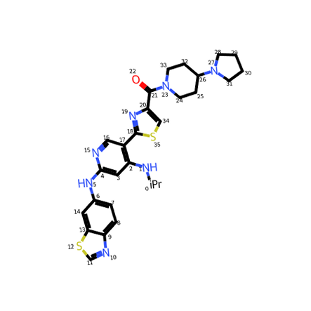 CC(C)Nc1cc(Nc2ccc3ncsc3c2)ncc1-c1nc(C(=O)N2CCC(N3CCCC3)CC2)cs1